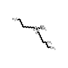 CC/C=C\CCCC/C=C\CCCCCCCC(=O)O[C@@H](CCN(C)C)COC(=O)CCCCCCC/C=C\CC(C)CC/C=C\CC